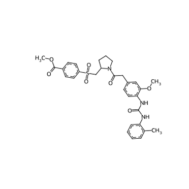 COC(=O)c1ccc(S(=O)(=O)CC2CCCN2C(=O)Cc2ccc(NC(=O)Nc3ccccc3C)c(OC)c2)cc1